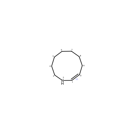 C1=C\NCCCCCCC/1